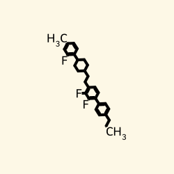 CCCc1ccc(-c2ccc(CCC3CCC(c4ccc(C)cc4F)CC3)c(F)c2F)cc1